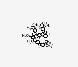 CC(C)(C)c1ccc(N2c3cc4c(cc3B3c5cc6c(cc5C(C)(C)c5cc(C(C)(C)C)cc2c53)oc2ccc(C(C)(C)C)cc26)C2(C)CCCCC2(C)N4c2ccc(C(C)(C)C)cc2)cc1